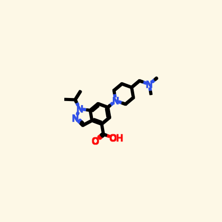 CC(C)n1ncc2c(C(=O)O)cc(N3CCC(CN(C)C)CC3)cc21